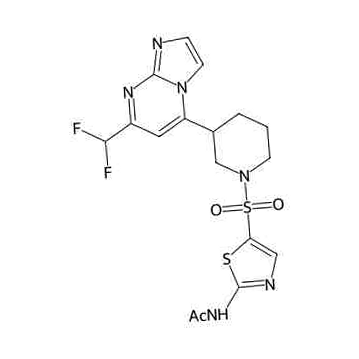 CC(=O)Nc1ncc(S(=O)(=O)N2CCCC(c3cc(C(F)F)nc4nccn34)C2)s1